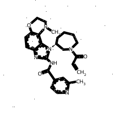 C=CC(=O)N1CCCC[C@@H](n2c(NC(=O)c3ccnc(C)c3)nc3ccc4c(c32)N(C)CCO4)C1